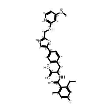 CCc1cc(F)cc(C)c1C(=O)NC(Cc1ccc(-c2cnc(CNc3cc(OC)ccn3)o2)cc1)C(=O)O